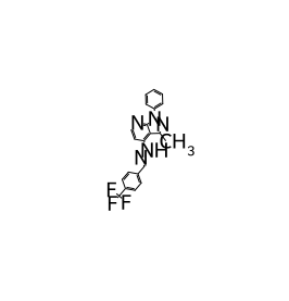 Cc1nn(-c2ccccc2)c2nccc(NN=Cc3ccc(C(F)(F)F)cc3)c12